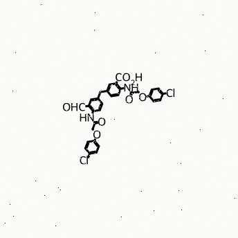 O=Cc1cc(Cc2ccc(NC(=O)COc3ccc(Cl)cc3)c(C(=O)O)c2)ccc1NC(=O)COc1ccc(Cl)cc1